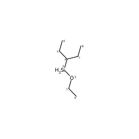 CCO[SiH2]C(CC)CC